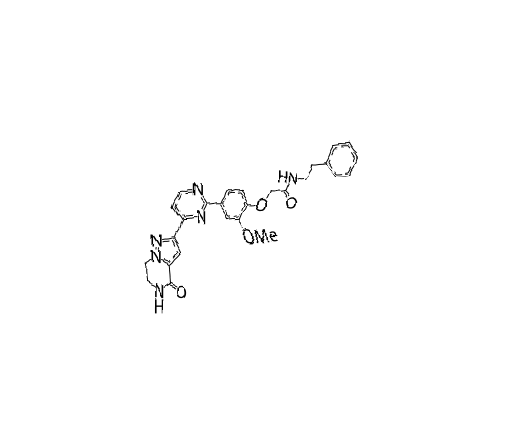 COc1cc(-c2nccc(-c3cc4n(n3)CCNC4=O)n2)ccc1OCC(=O)NCCc1ccccc1